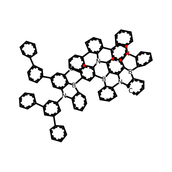 c1ccc(-c2cccc(-c3cc4c5c(c3)N(c3cc(-c6ccccc6)cc(-c6ccccc6)c3)c3ccccc3B5c3cc5c(cc3O4)N(c3c(-c4ccccc4)cccc3-c3ccccc3)c3cc4c6c7c3B5c3ccccc3N7c3ccccc3B6c3ccccc3N4c3ccccc3)c2)cc1